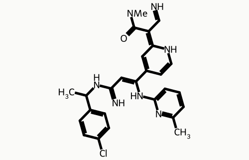 CNC(=O)/C(C=N)=C1C=C(/C(=C/C(=N)NC(C)c2ccc(Cl)cc2)Nc2cccc(C)n2)C=CN\1